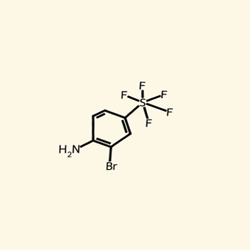 Nc1ccc(S(F)(F)(F)(F)F)cc1Br